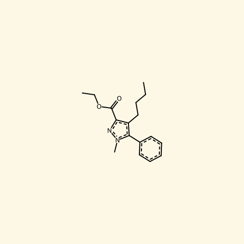 CCCCc1c(C(=O)OCC)nn(C)c1-c1ccccc1